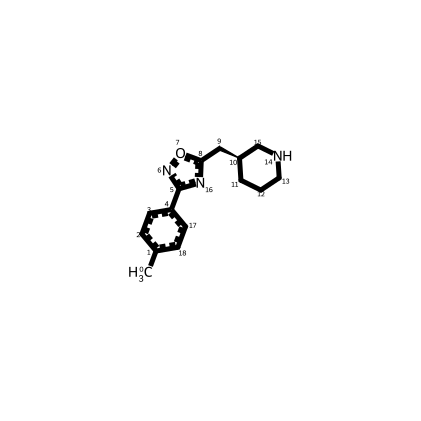 Cc1ccc(-c2noc(C[C@@H]3CCCNC3)n2)cc1